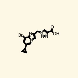 O=C(O)c1cn(Cc2cn3cc(C4CC4)cc(Br)c3n2)nn1